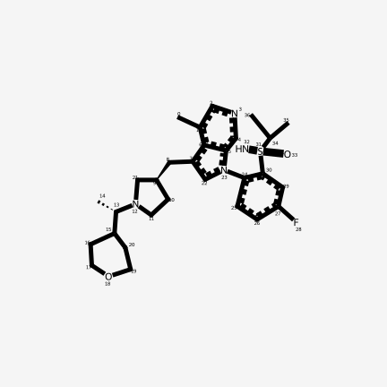 Cc1cncc2c1c(C[C@H]1CCN([C@@H](C)C3CCOCC3)C1)cn2-c1ccc(F)cc1S(=N)(=O)C(C)C